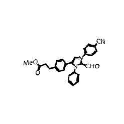 COC(=O)CCc1ccc(C2=CN(c3ccc(C#N)cc3)C(C=O)N2c2ccccc2)cc1